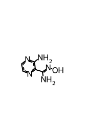 NC(=NO)c1nccnc1N